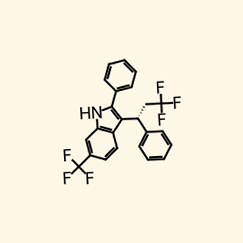 FC(F)(F)C[C@H](c1ccccc1)c1c(-c2ccccc2)[nH]c2cc(C(F)(F)F)ccc12